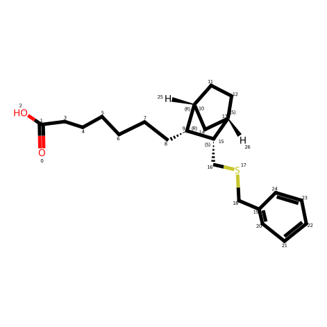 O=C(O)CCCCCC[C@@H]1[C@@H]2CC[C@@H](C2)[C@@H]1CSCc1ccccc1